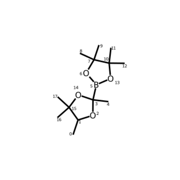 CC1OC(C)(B2OC(C)(C)C(C)(C)O2)OC1(C)C